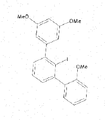 COc1cc(OC)cc(-c2cccc(-c3ccccc3OC)c2I)c1